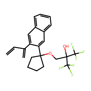 C=CC(=C)c1cc2ccccc2cc1C1(OCC(O)(C(F)(F)F)C(F)(F)F)CCCC1